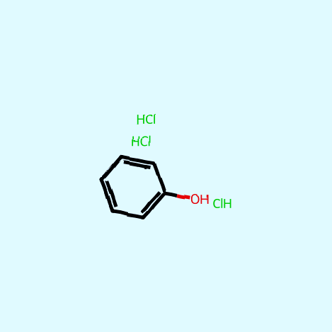 Cl.Cl.Cl.Oc1ccccc1